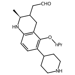 CCCOc1c(C2CCNCC2)ccc2c1CC(CC=O)[C@H](C)N2